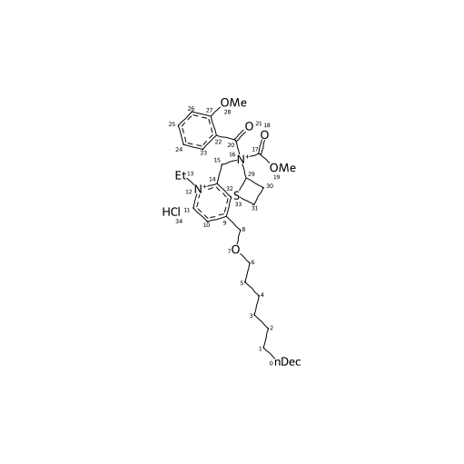 CCCCCCCCCCCCCCCCOCc1cc[n+](CC)c(C[N+](C(=O)OC)(C(=O)c2ccccc2OC)C2CCS2)c1.Cl